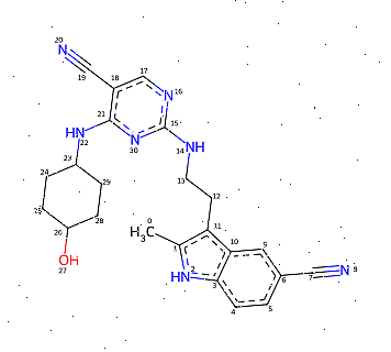 Cc1[nH]c2ccc(C#N)cc2c1CCNc1ncc(C#N)c(NC2CCC(O)CC2)n1